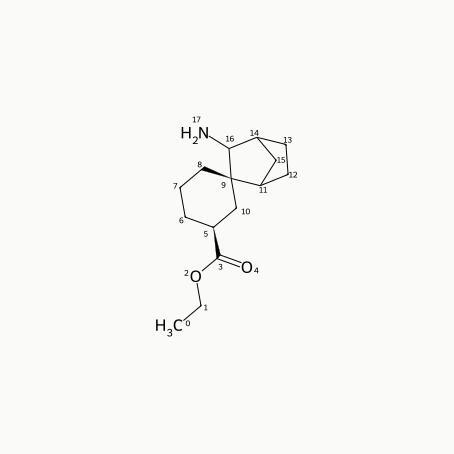 CCOC(=O)[C@H]1CCC[C@]2(C1)C1CCC(C1)C2N